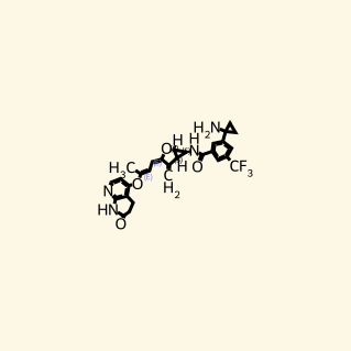 C=C1/C(=C\C=C(/C)Oc2ccnc3c2CCC(=O)N3)O[C@@H]2[C@@H](NC(=O)c3cc(C(F)(F)F)cc(C4(N)CC4)c3)[C@H]12